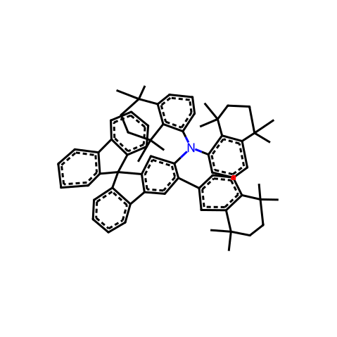 CC1(C)CCC(C)(C)c2cc(-c3cc4c(cc3N(c3cccc5c3C(C)(C)CCC5(C)C)c3cccc5c3C(C)(C)CCC5(C)C)C3(c5ccccc5-c5ccccc53)c3ccccc3-4)ccc21